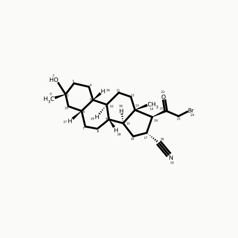 C[C@@]1(O)CC[C@H]2[C@H](CC[C@@H]3[C@@H]2CC[C@@]2(C)[C@H]3C[C@@H](C#N)[C@@H]2C(=O)CBr)C1